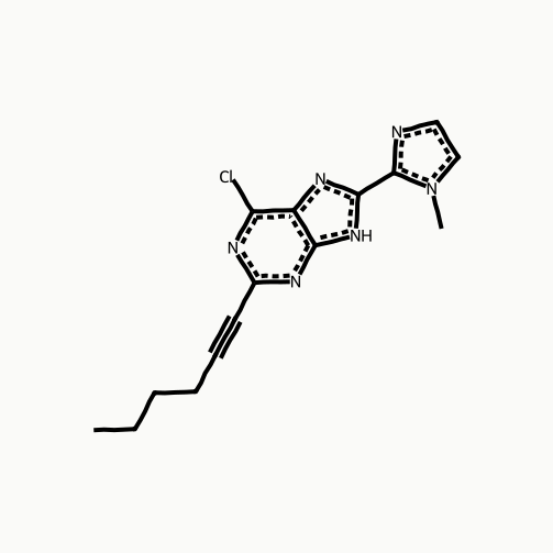 CCCCC#Cc1nc(Cl)c2nc(-c3nccn3C)[nH]c2n1